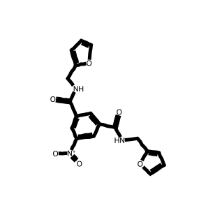 O=C(NCc1ccco1)c1cc(C(=O)NCc2ccco2)cc([N+](=O)[O-])c1